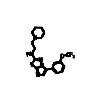 FC(F)(F)Oc1cccc(-c2cnc3sc(NCCN4CCCCC4)nn23)c1